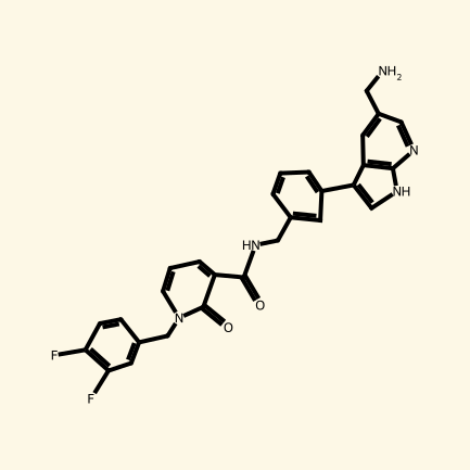 NCc1cnc2[nH]cc(-c3cccc(CNC(=O)c4cccn(Cc5ccc(F)c(F)c5)c4=O)c3)c2c1